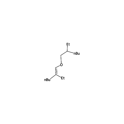 CCCCC(=COCC(CC)CCCC)CC